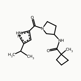 CC(C)c1cc(C(=O)N2CCC(NC(=O)C3(C)CCC3)C2)[nH]n1